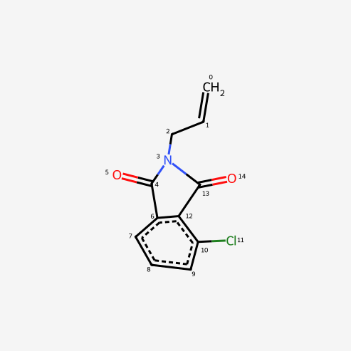 C=CCN1C(=O)c2cccc(Cl)c2C1=O